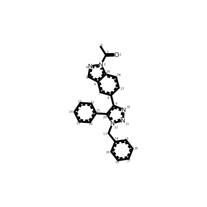 CC(=O)n1ncc2cc(-c3nnn(Cc4ccccc4)c3-c3ccccc3)ccc21